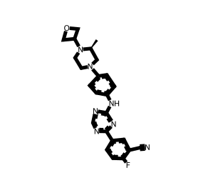 C[C@H]1CN(c2ccc(Nc3ncnc(-c4ccc(F)c(C#N)c4)n3)cc2)CCN1C1COC1